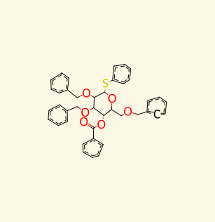 O=C(O[C@H]1C(COCc2ccccc2)O[C@@H](Sc2ccccc2)C(OCc2ccccc2)C1OCc1ccccc1)c1ccccc1